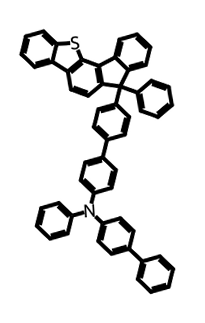 c1ccc(-c2ccc(N(c3ccccc3)c3ccc(-c4ccc(C5(c6ccccc6)c6ccccc6-c6c5ccc5c6sc6ccccc65)cc4)cc3)cc2)cc1